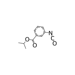 CC(C)OC(=O)c1cccc(N=C=O)c1